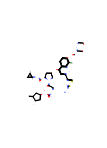 CC[C@@H]1C[C@]1(NC(=O)[C@@H]1C[C@@H](Oc2cc(-c3csc(NC(C)C)n3)nc3c(Cl)c(OC[C@@H]4COCCN4)ccc23)CN1C(=O)[C@@H](NC(=O)OC1CC(C)[C@H](C)C1)C(C)(C)C)C(=O)O